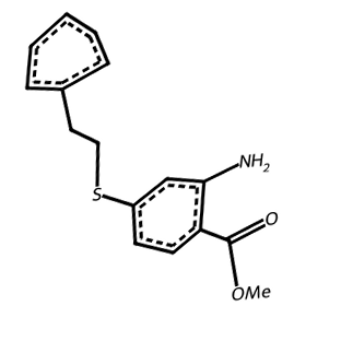 COC(=O)c1ccc(SCCc2ccccc2)cc1N